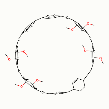 COC1=CC2CC3C=CC(CC3)C3C=CC(CC3)CC3=CC(OC)=C(CC4=C(OC)C=C(CC5C=CC(CC5)C5C=CC(CC5)CC5C=C(OC)C(CC1CC2OC)CC5OC)C(OC)C4)CC3OC